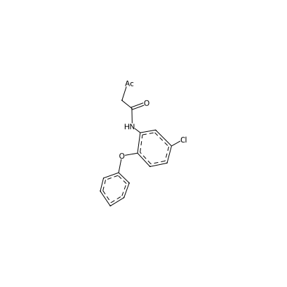 CC(=O)CC(=O)Nc1cc(Cl)ccc1Oc1ccccc1